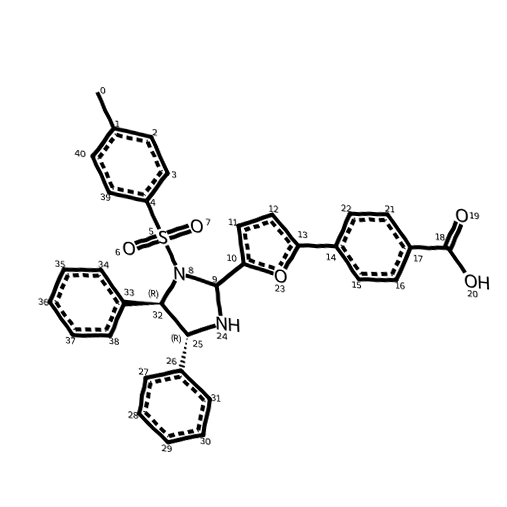 Cc1ccc(S(=O)(=O)N2C(c3ccc(-c4ccc(C(=O)O)cc4)o3)N[C@H](c3ccccc3)[C@H]2c2ccccc2)cc1